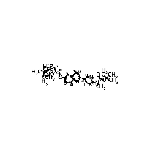 CN(C(=O)OC(C)(C)C)c1ccc(-c2ccc3cc(OC[C@@H](CO)O[Si](C)(C)C(C)(C)C)ccc3n2)cn1